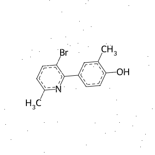 Cc1ccc(Br)c(-c2ccc(O)c(C)c2)n1